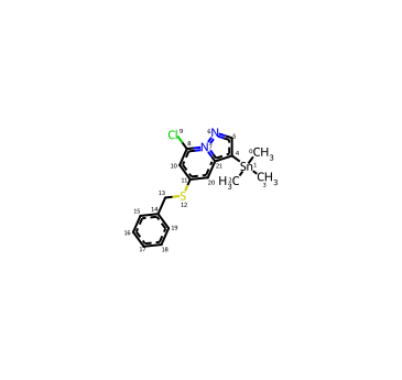 [CH3][Sn]([CH3])([CH3])[c]1cnn2c(Cl)cc(SCc3ccccc3)cc12